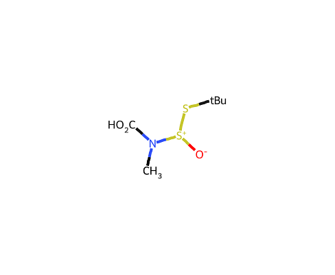 CN(C(=O)O)[S+]([O-])SC(C)(C)C